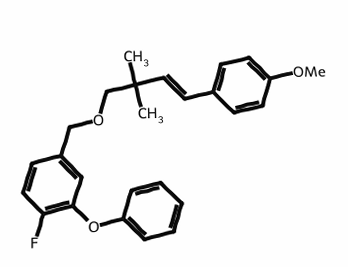 COc1ccc(/C=C/C(C)(C)COCc2ccc(F)c(Oc3ccccc3)c2)cc1